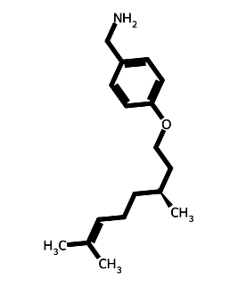 CC(C)=CCC[C@H](C)CCOc1ccc(CN)cc1